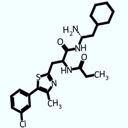 CCC(=O)NC(Cc1nc(C)c(-c2cccc(Cl)c2)s1)C(=O)N[C@H](N)CC1CCCCC1